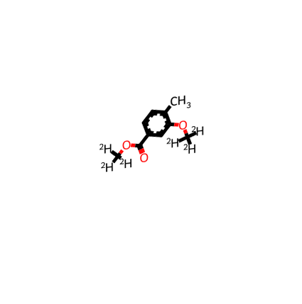 [2H]C([2H])([2H])OC(=O)c1ccc(C)c(OC([2H])([2H])[2H])c1